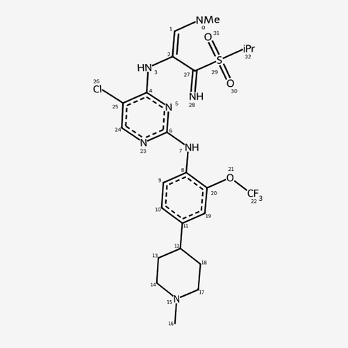 CN/C=C(/Nc1nc(Nc2ccc(C3CCN(C)CC3)cc2OC(F)(F)F)ncc1Cl)C(=N)S(=O)(=O)C(C)C